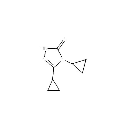 O=c1[nH]nc(C2CC2)n1C1CC1